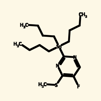 CCC[CH2][Sn]([CH2]CCC)([CH2]CCC)[c]1ncc(F)c(SC)n1